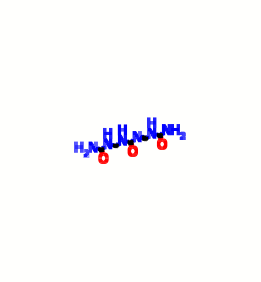 NC(=O)NC=NC(=O)NCNC(N)=O